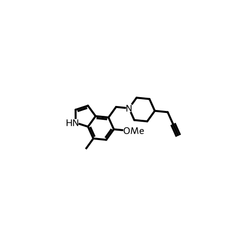 C#CCC1CCN(Cc2c(OC)cc(C)c3[nH]ccc23)CC1